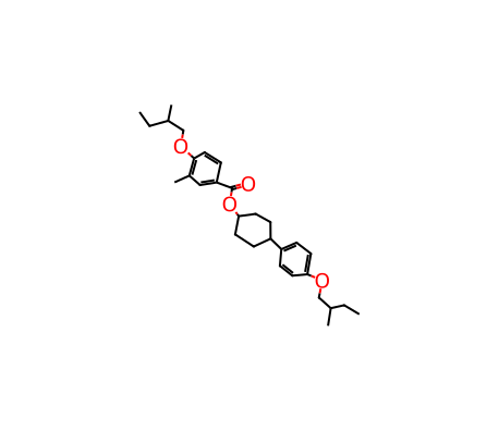 CCC(C)COc1ccc(C2CCC(OC(=O)c3ccc(OCC(C)CC)c(C)c3)CC2)cc1